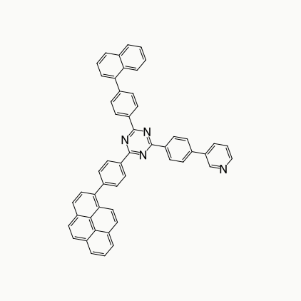 c1cncc(-c2ccc(-c3nc(-c4ccc(-c5cccc6ccccc56)cc4)nc(-c4ccc(-c5ccc6ccc7cccc8ccc5c6c78)cc4)n3)cc2)c1